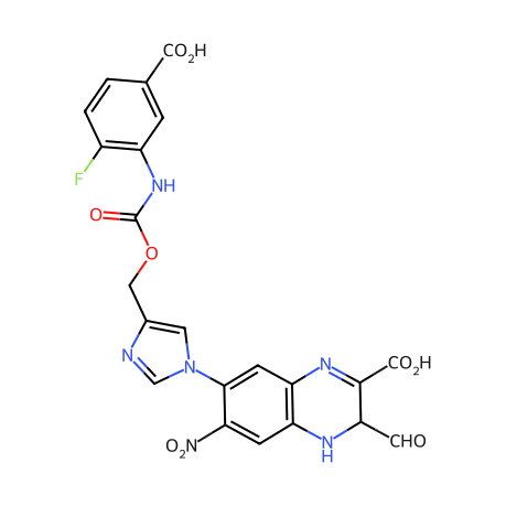 O=CC1Nc2cc([N+](=O)[O-])c(-n3cnc(COC(=O)Nc4cc(C(=O)O)ccc4F)c3)cc2N=C1C(=O)O